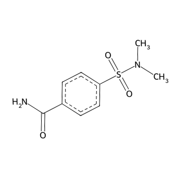 CN(C)S(=O)(=O)c1ccc(C(N)=O)cc1